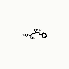 CC(=CC=C(CCc1ccccc1)C(=O)O)C(=O)O